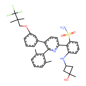 Cc1cccc(C)c1-c1nc(-c2c(NC3CC(C)(O)C3)cccc2S(N)(=O)=O)ccc1-c1cccc(OCC(C)(C)C(F)(F)F)c1